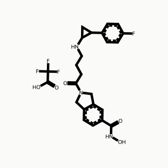 O=C(NO)c1ccc2c(c1)CN(C(=O)CCCNC1CC1c1ccc(F)cc1)C2.O=C(O)C(F)(F)F